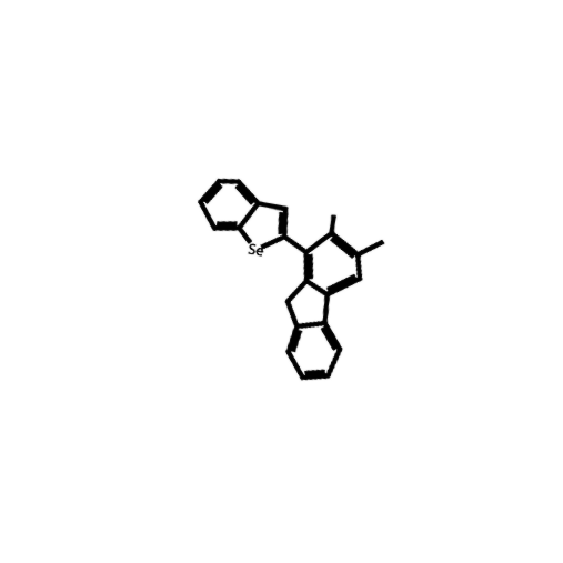 Cc1cc2c(c(-c3cc4ccccc4[se]3)c1C)Cc1ccccc1-2